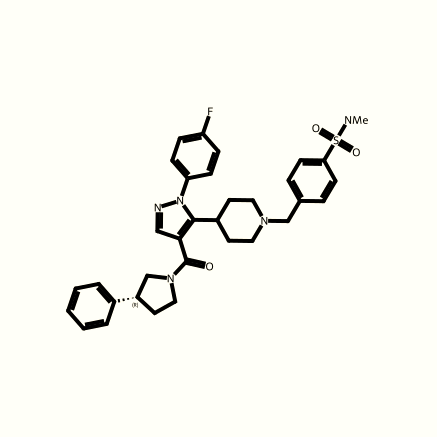 CNS(=O)(=O)c1ccc(CN2CCC(c3c(C(=O)N4CC[C@H](c5ccccc5)C4)cnn3-c3ccc(F)cc3)CC2)cc1